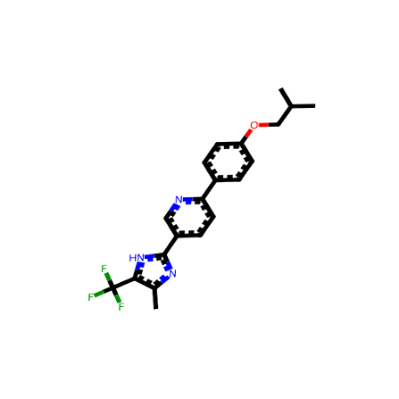 Cc1nc(-c2ccc(-c3ccc(OCC(C)C)cc3)nc2)[nH]c1C(F)(F)F